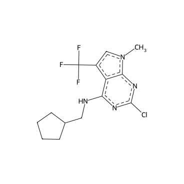 Cn1cc(C(F)(F)F)c2c(NCC3CCCC3)nc(Cl)nc21